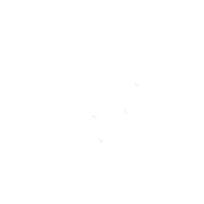 Fc1ccccc1Cn1c(CN2CCN(Cc3cc4c(cc3Cl)OCO4)CC2)nc2ccccc21